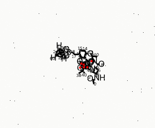 CC(=O)N[C@@H]1C[C@@H](C(=O)N2CC(Oc3ccc(CCB4O[C@@H]5C[C@@H]6C[C@@H](C6(C)C)[C@]5(C)O4)c(OC(=O)OC(C)(C)C)c3C(=O)OC(C)(C)C)C2)N(C(=O)OC(C)(C)C)C1